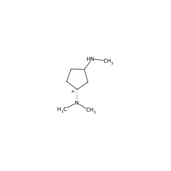 CNC1CC[C@@H](N(C)C)C1